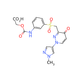 Cn1cc(-n2ccc(=O)c(CS(=O)(=O)c3cccc(NC(=O)OCC(=O)O)c3)n2)cn1